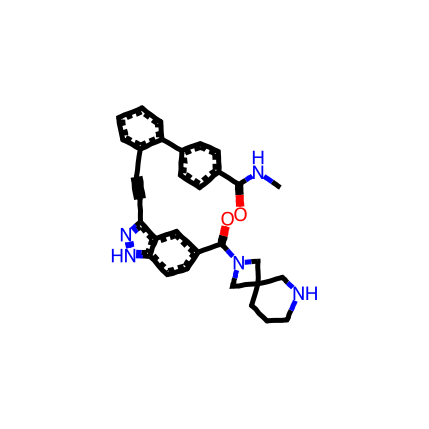 CNC(=O)c1ccc(-c2ccccc2C#Cc2n[nH]c3ccc(C(=O)N4CC5(CCCNC5)C4)cc23)cc1